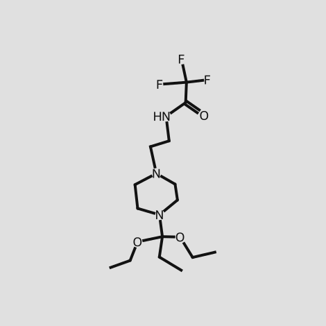 CCOC(CC)(OCC)N1CCN(CCNC(=O)C(F)(F)F)CC1